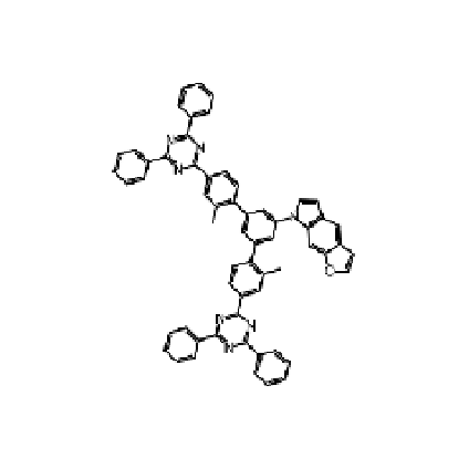 Cc1cc(-c2nc(-c3ccccc3)nc(-c3ccccc3)n2)ccc1-c1cc(-c2ccc(-c3nc(-c4ccccc4)nc(-c4ccccc4)n3)cc2C)cc(-n2ccc3cc4ccoc4cc32)c1